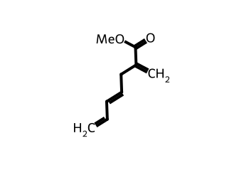 C=CC=CCC(=C)C(=O)OC